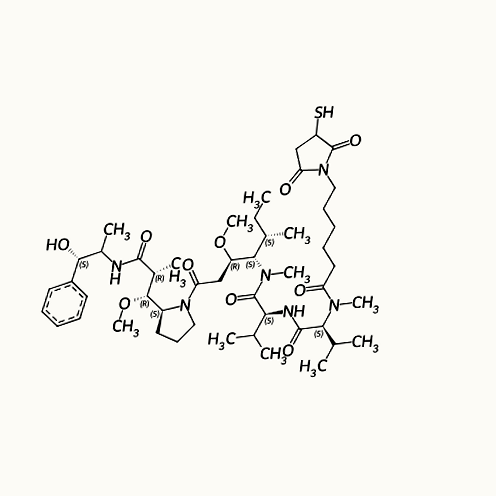 CC[C@H](C)[C@@H]([C@@H](CC(=O)N1CCC[C@H]1[C@H](OC)[C@@H](C)C(=O)NC(C)[C@@H](O)c1ccccc1)OC)N(C)C(=O)[C@@H](NC(=O)[C@H](C(C)C)N(C)C(=O)CCCCCN1C(=O)CC(S)C1=O)C(C)C